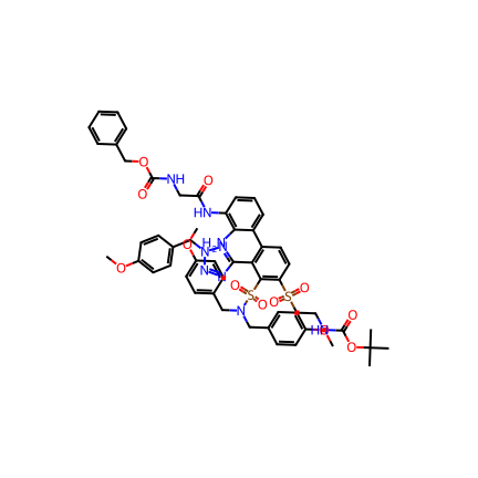 COc1ccc(CN(Cc2ccc(OC)cc2)S(=O)(=O)c2c(S(=O)(=O)CCNC(=O)OC(C)(C)C)ccc(-c3cccc(NC(=O)CNC(=O)OCc4ccccc4)c3N)c2-c2nnn(Cc3ccc(OC)cc3)n2)cc1